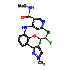 CONC(=O)c1cnc(Cl)cc1Nc1cccc(-c2ccn(C)n2)c1OC(F)C(F)F